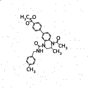 CC(=O)N1c2ccc(-c3ccc(S(C)(=O)=O)cc3)cc2N(C(=O)NCc2ccc(C)cc2)CC1C